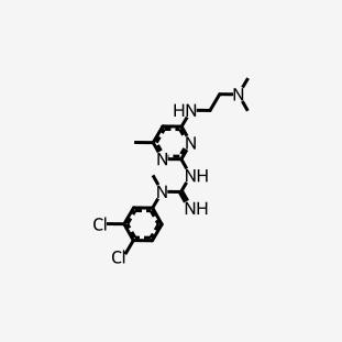 Cc1cc(NCCN(C)C)nc(NC(=N)N(C)c2ccc(Cl)c(Cl)c2)n1